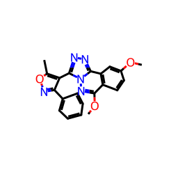 COc1ccc2c(OC)nn3c(-c4c(-c5ccccc5)noc4C)nnc3c2c1